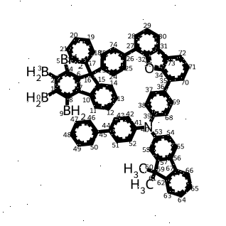 Bc1c(B)c(B)c2c(c1B)-c1ccccc1C2(c1ccccc1)c1ccc(-c2cccc3c2oc2c(-c4ccc(N(c5ccc(-c6ccccc6)cc5)c5ccc6c(c5)C(C)(C)c5ccccc5-6)cc4)cccc23)cc1